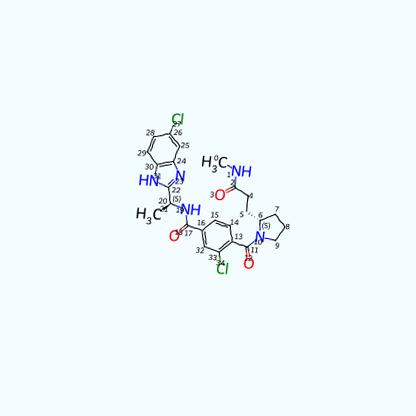 CNC(=O)CC[C@@H]1CCCN1C(=O)c1ccc(C(=O)N[C@@H](C)c2nc3cc(Cl)ccc3[nH]2)cc1Cl